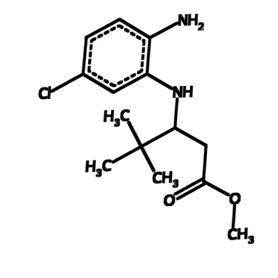 COC(=O)CC(Nc1cc(Cl)ccc1N)C(C)(C)C